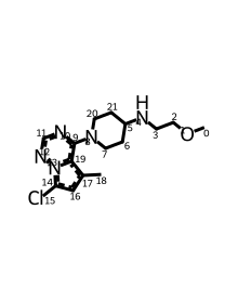 COCCNC1CCN(c2ncnn3c(Cl)cc(C)c23)CC1